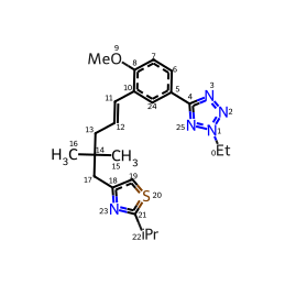 CCn1nnc(-c2ccc(OC)c(/C=C/CC(C)(C)Cc3csc(C(C)C)n3)c2)n1